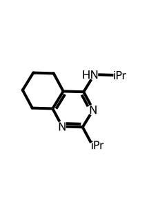 CC(C)Nc1nc(C(C)C)nc2c1CCCC2